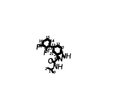 CC(C)NC(=O)c1n[nH]c2ccc(-c3cccc(F)c3F)cc12